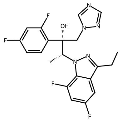 CCc1nn([C@H](C)[C@](O)(Cn2cncn2)c2ccc(F)cc2F)c2c(F)cc(F)cc12